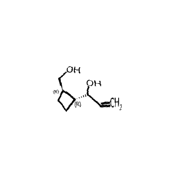 C=CC(O)[C@@H]1CC[C@H]1CO